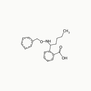 CCCCC(NOCc1ccccc1)c1ccccc1C(=O)O